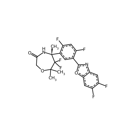 CC1(C)OCC(=O)N[C@](C)(c2cc(-c3nc4cc(F)c(F)cc4o3)c(F)cc2F)C1(F)F